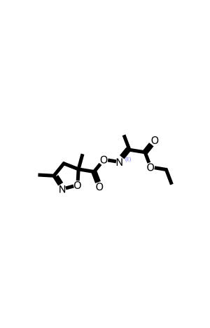 CCOC(=O)/C(C)=N/OC(=O)C1(C)CC(C)=NO1